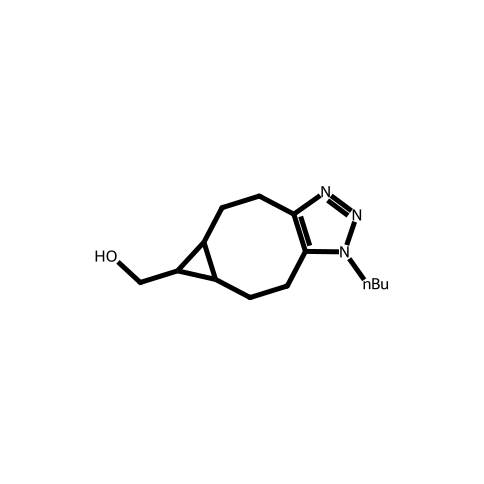 CCCCn1nnc2c1CCC1C(CO)C1CC2